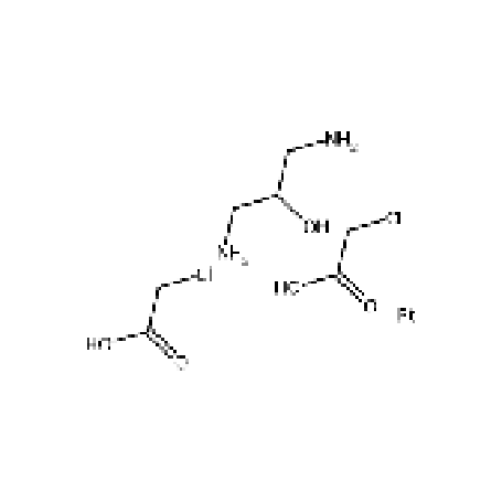 NCC(O)CN.O=C(O)CCl.O=C(O)CCl.[Pt]